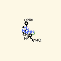 COc1ccc(CN(c2nc(Nc3cc(C#N)c(CCCC=O)cc3Cl)nn3c(C#N)cnc23)C2CC2)cc1